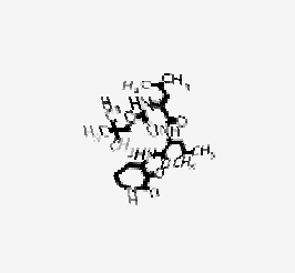 CC(C)CC(NC(=O)OCC(C)(C)C)C(=O)NC(CC(C)C)C(=O)NC1CCCNC(=O)C1=O